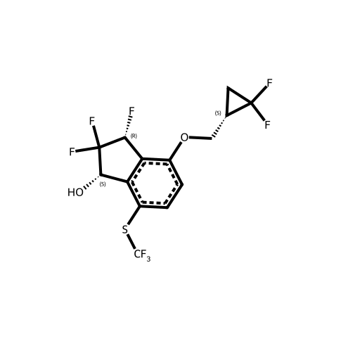 O[C@H]1c2c(SC(F)(F)F)ccc(OC[C@@H]3CC3(F)F)c2[C@@H](F)C1(F)F